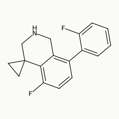 Fc1ccccc1-c1ccc(F)c2c1CNCC21CC1